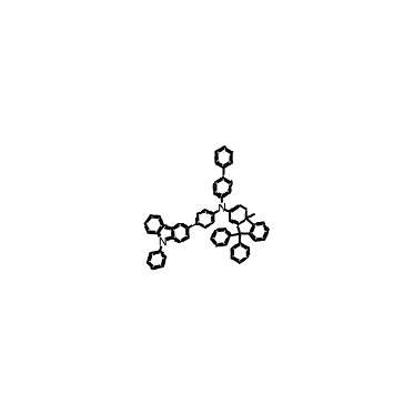 CC12CC=C(N(c3ccc(-c4ccccc4)cc3)c3ccc(-c4ccc5c(c4)c4ccccc4n5-c4ccccc4)cc3)C=C1C(c1ccccc1)(c1ccccc1)c1ccccc12